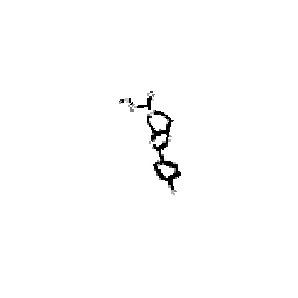 CC(C)(C)OC(=O)N1CCc2nc(-c3ccc(F)cc3)sc2C1